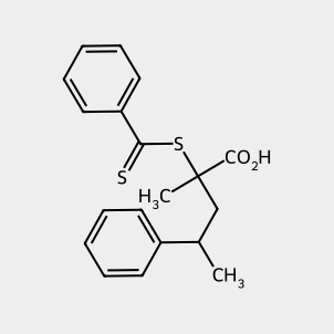 CC(CC(C)(SC(=S)c1ccccc1)C(=O)O)c1ccccc1